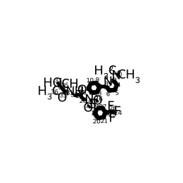 CN(C)c1cccc(-c2ccc3c(c2)N(S(=O)(=O)c2cccc(C(F)(F)F)c2)CC(CNC(=O)C(C)(C)O)O3)n1